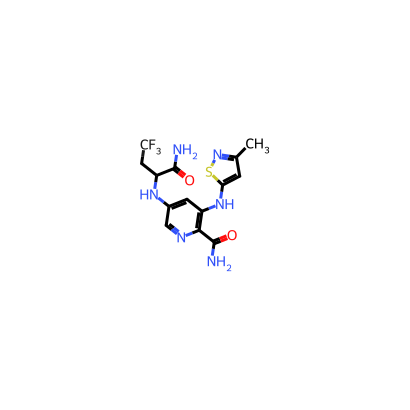 Cc1cc(Nc2cc(NC(CC(F)(F)F)C(N)=O)cnc2C(N)=O)sn1